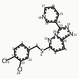 Clc1ccc(CSc2ccc3nnc(-c4cccnc4)n3n2)cc1Cl